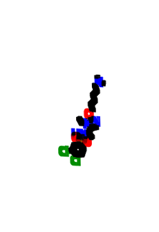 CCn1c(C(C)NS(=O)(=O)c2ccc(Cl)c(Cl)c2)cnc1OCCCCCCN(C)C